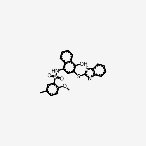 COc1ccc(C)cc1S(=O)(=O)Nc1cc(Sc2nc3ccccc3s2)c(O)c2ccccc12